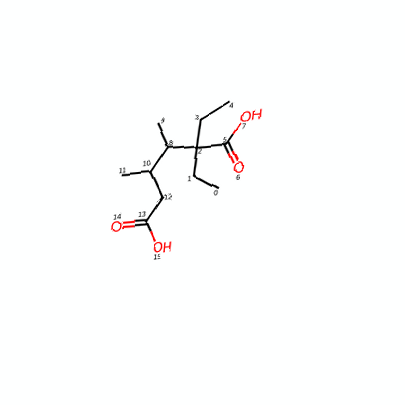 CCC(CC)(C(=O)O)C(C)C(C)CC(=O)O